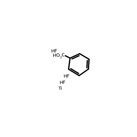 F.F.F.O=C(O)c1ccccc1.[Ti]